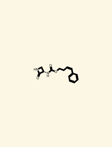 O=C(N[C@H]1CNC1=O)OCC/C=C\c1ccccc1